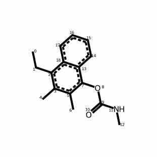 CCc1c(C)c(C)c(OC(=O)NC)c2ccccc12